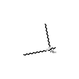 CCCCCCCCCCCCCCOCC(CCC)(OCCCCCCCCCCCCCC)[N+](C)(C)O